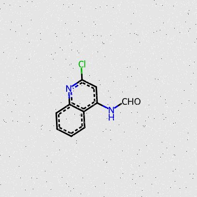 O=CNc1cc(Cl)nc2ccccc12